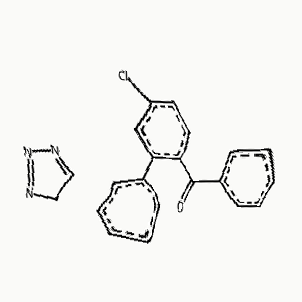 C1=NN=NC1.O=C(c1ccccc1)c1ccc(Cl)cc1-c1ccccc1